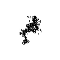 COc1cccc2c1C(=O)c1c(O)c3c(c(O)c1C2=O)C[C@@](O)(C(=O)COC(=O)N(C)CCN(C)C(=O)OCc1ccc(NC(=O)[C@H](C)NC(=O)[C@@H](NC(=O)CCCCCN2C(=O)C=C(Cl)S2(=O)=O)C(C)C)cc1)C[C@@H]3O[C@H]1C[C@H]2[C@H](O[C@@H]3[C@@H](OC)OCCN32)[C@H](C)O1